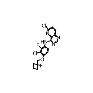 Fc1c(Nc2ncnc3ccc(Cl)nc23)ccc(OCC2(F)CCC2)c1Cl